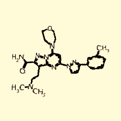 Cc1cccc(-c2ccn(-c3cc(N4CCOCC4)n4nc(C(N)=O)c(CCN(C)C)c4n3)n2)c1